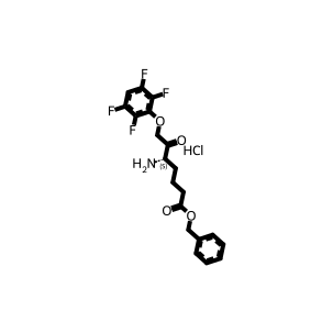 Cl.N[C@@H](CCCC(=O)OCc1ccccc1)C(=O)COc1c(F)c(F)cc(F)c1F